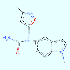 Cc1cc(N(C(N)=O)c2ccc3c(ccn3C)c2)on1